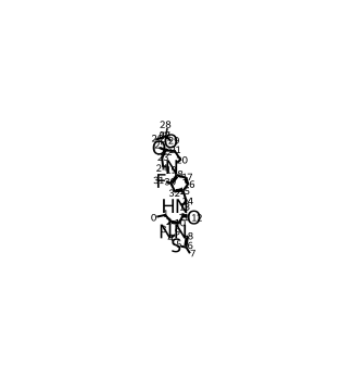 CCc1nc2sc(C)cn2c1C(=O)NCc1ccc(N2CCC3(CC2)OC[C@@H](C)O3)c(F)c1